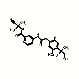 CC(C)(C#N)NC(=O)c1cc(NC(=O)Cc2cc(O)c(C(C)(C)CO)cc2F)ccn1